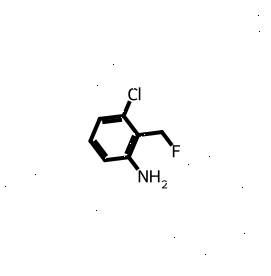 Nc1cccc(Cl)c1CF